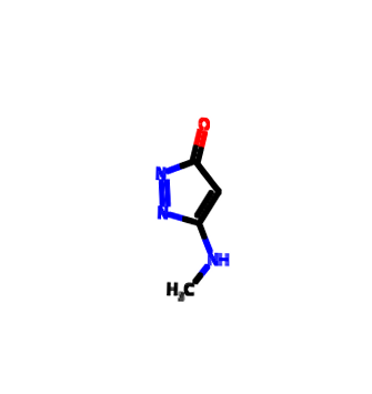 CNC1=CC(=O)N=N1